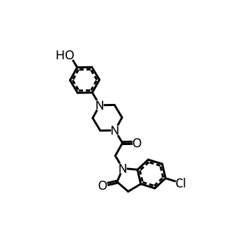 O=C(CN1C(=O)Cc2cc(Cl)ccc21)N1CCN(c2ccc(O)cc2)CC1